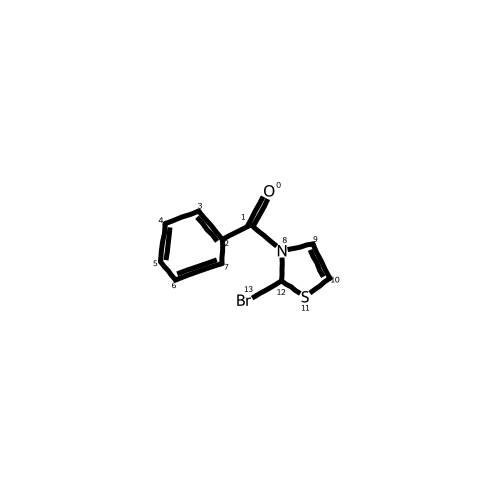 O=C(c1ccccc1)N1C=CSC1Br